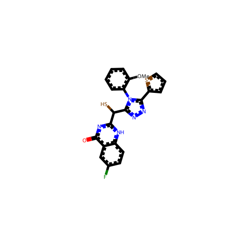 COc1ccccc1-n1c(-c2cccs2)nnc1C(S)c1nc(=O)c2cc(F)ccc2[nH]1